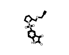 C#CCOCC1CCCN1S(=O)(=O)c1ccc2c(c1)C(=O)C(=O)N2